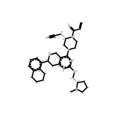 C=CC(=O)N1CCN(c2nc(OC[C@@H]3CCCN3C)nc3c2COC(c2cccc4c2CCCC4)C3)C[C@@H]1CC#N